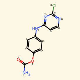 NC(=O)Oc1ccc(Nc2ccnc(Cl)n2)cc1